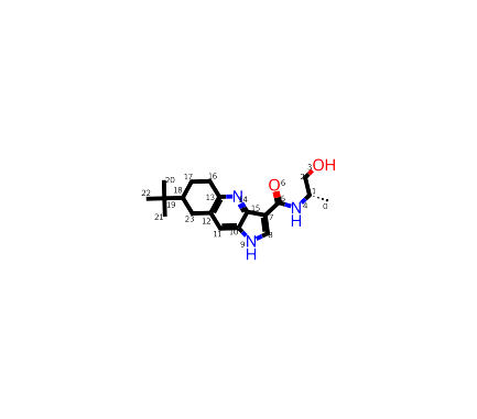 C[C@@H](CO)NC(=O)c1c[nH]c2cc3c(nc12)CCC(C(C)(C)C)C3